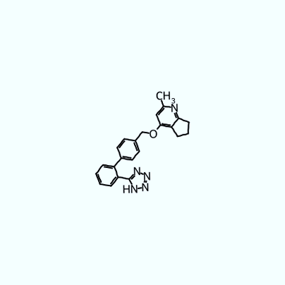 Cc1cc(OCc2ccc(-c3ccccc3-c3nnn[nH]3)cc2)c2c(n1)CCC2